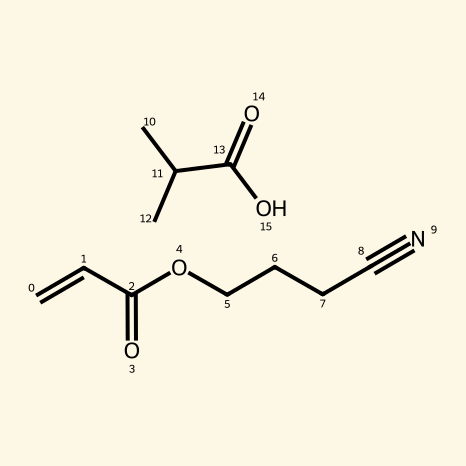 C=CC(=O)OCCCC#N.CC(C)C(=O)O